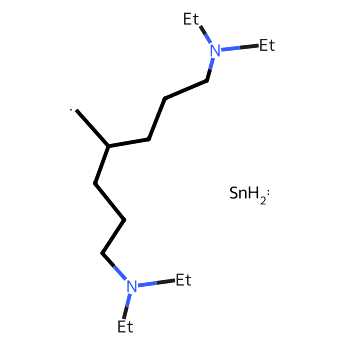 [CH2]C(CCCN(CC)CC)CCCN(CC)CC.[SnH2]